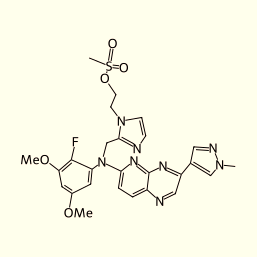 COc1cc(OC)c(F)c(N(Cc2nccn2CCOS(C)(=O)=O)c2ccc3ncc(-c4cnn(C)c4)nc3n2)c1